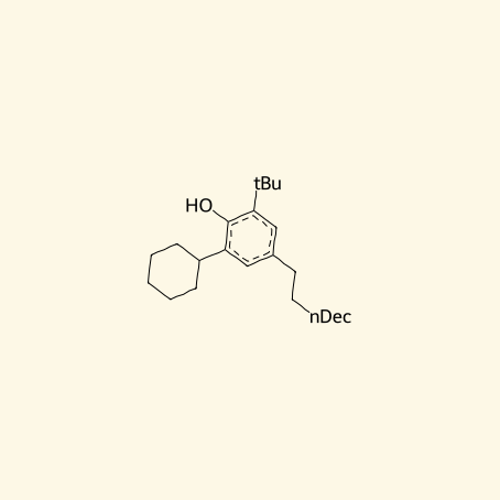 CCCCCCCCCCCCc1cc(C2CCCCC2)c(O)c(C(C)(C)C)c1